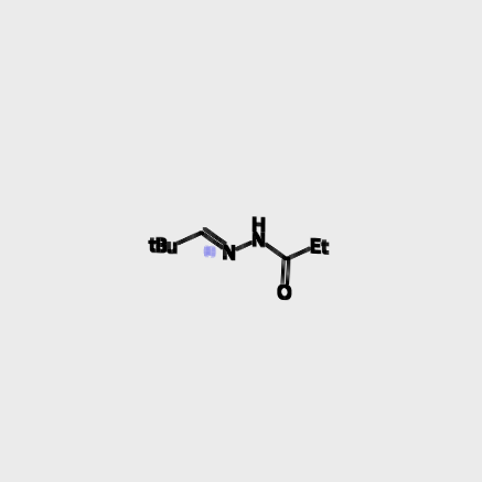 CCC(=O)N/N=C/C(C)(C)C